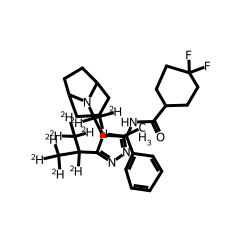 [2H]C([2H])(CC(NC(=O)C1CCC(F)(F)CC1)c1ccccc1)N1C2CCC1CC(n1c(C)nnc1C([2H])(C([2H])([2H])[2H])C([2H])([2H])[2H])C2